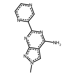 Cn1cc2c(N)nc(-c3cnccn3)nc2n1